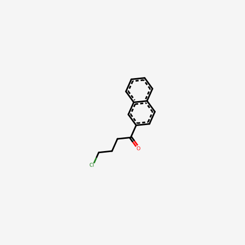 O=C(CCCCl)c1ccc2ccccc2c1